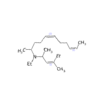 C/C=C\CC/C=C\CCC(C)N(CC)C(C)/C=C(/C)CC